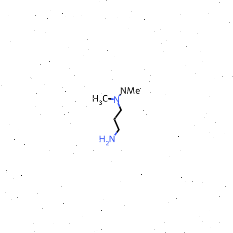 CNN(C)CCCN